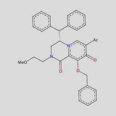 COCCN1C[C@H](C(c2ccccc2)c2ccccc2)n2cc(C(C)=O)c(=O)c(OCc3ccccc3)c2C1=O